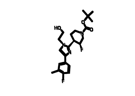 Cc1cc(-c2cn(CCO)c([C@H]3CCN(C(=O)OC(C)(C)C)C[C@H]3F)n2)ccc1F